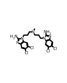 CN(CCCn1c(N)nc2cc(Cl)c(Cl)cc21)CCCn1c(N)nc2cc(Cl)c(Cl)cc21